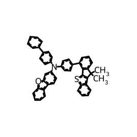 CC1(C)c2cccc(-c3ccc(N(c4ccc(-c5ccccc5)cc4)c4ccc5c(c4)oc4ccccc45)cc3)c2-c2sc3ccccc3c21